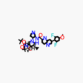 COc1cc(F)c(-c2cnc3ccc(C(=O)Nc4cnccc4N4C[C@H](C5CC5)[C@H]5O[Si](C)(C(C)(C)C)N(C(=O)OC(C)(C)C)[C@@H]5C4)nc3c2)c(F)c1